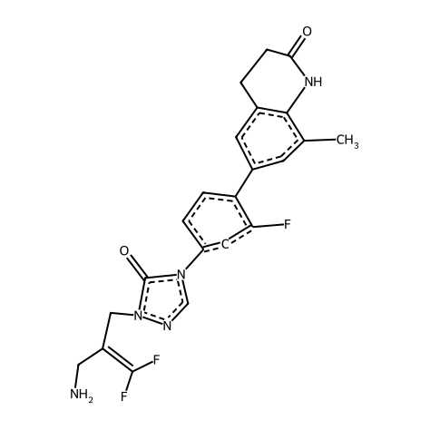 Cc1cc(-c2ccc(-n3cnn(CC(CN)=C(F)F)c3=O)cc2F)cc2c1NC(=O)CC2